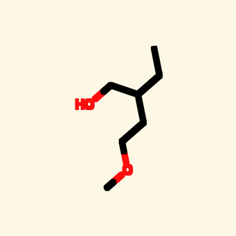 CCC(CO)CCOC